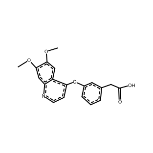 COc1cc2nccc(Oc3cccc(CC(=O)O)c3)c2cc1OC